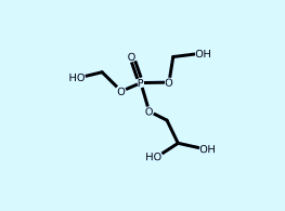 O=P(OCO)(OCO)OCC(O)O